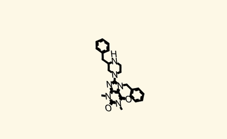 Cn1c(=O)c2c(nc(N3CCNC(Cc4ccccc4)C3)n2Cc2ccccc2)n(C)c1=O